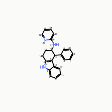 c1ccc(C2c3c([nH]c4ccccc34)CCC2Nc2ccccn2)cc1